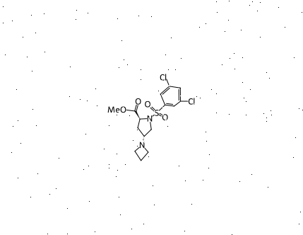 COC(=O)[C@@H]1C[C@@H](N2CCC2)CN1S(=O)(=O)c1cc(Cl)cc(Cl)c1